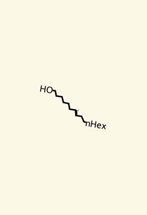 CCCCCCCC/C=[C]/CCCCCCO